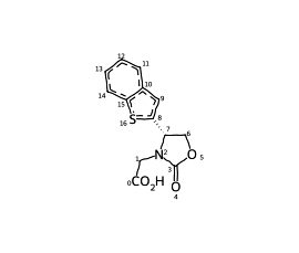 O=C(O)CN1C(=O)OC[C@H]1c1cc2ccccc2s1